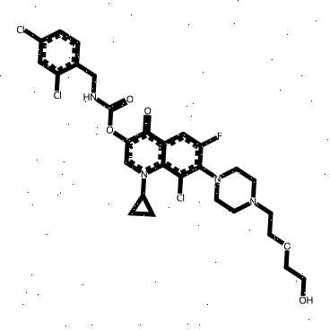 O=C(NCc1ccc(Cl)cc1Cl)Oc1cn(C2CC2)c2c(Cl)c(N3CCN(CCOCCO)CC3)c(F)cc2c1=O